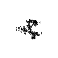 O=C(O)CC(NC(=O)C(CC(=O)O)NC(=O)CCCCCNC(=O)C(CCCSSCCC(=O)NCC#Cc1cn([C@H]2CC[C@@H](CO[PH](=O)O[PH](=O)O[PH](=O)O)O2)c(=O)[nH]c1=O)NC(=O)c1ccc(C2=c3cc4c5c(c3Oc3c2cc2c6c3CCCN6CCC2)CCC[N+]=5CCC4)c(C(=O)O)c1)C(=O)O